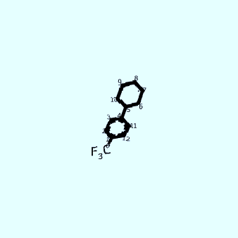 FC(F)(F)c1ccc(C2C[CH]CCC2)cc1